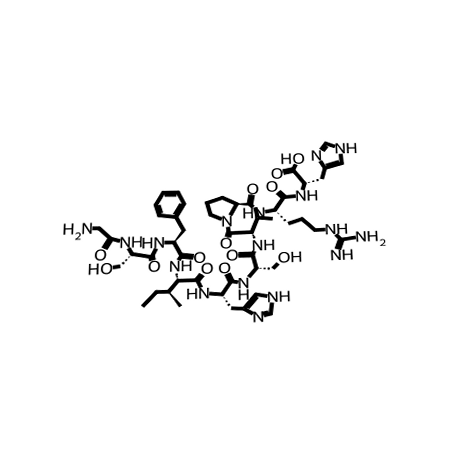 CC[C@H](C)[C@H](NC(=O)[C@H](Cc1ccccc1)NC(=O)[C@H](CO)NC(=O)CN)C(=O)N[C@@H](Cc1c[nH]cn1)C(=O)N[C@@H](CO)C(=O)N[C@H](C(=O)N1CCC[C@H]1C(=O)N[C@@H](CCCNC(=N)N)C(=O)N[C@@H](Cc1c[nH]cn1)C(=O)O)C(C)C